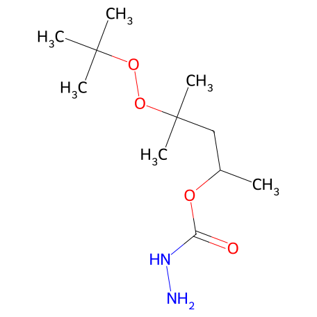 CC(CC(C)(C)OOC(C)(C)C)OC(=O)NN